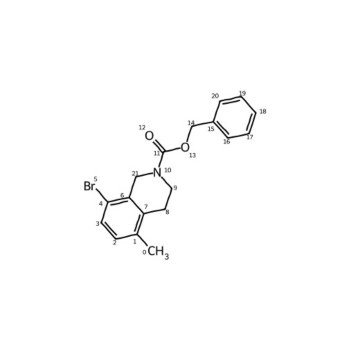 Cc1ccc(Br)c2c1CCN(C(=O)OCc1ccccc1)C2